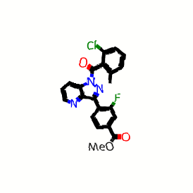 COC(=O)c1ccc(-c2nn(C(=O)c3c(C)cccc3Cl)c3cccnc23)c(F)c1